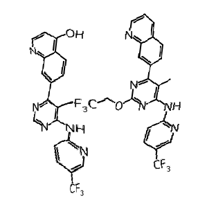 Cc1c(Nc2ccc(C(F)(F)F)cn2)nc(OCC(F)(F)F)nc1-c1ccc2cccnc2c1.Cc1c(Nc2ccc(C(F)(F)F)cn2)ncnc1-c1ccc2c(O)ccnc2c1